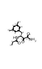 CCC(=O)N[C@@H](Cc1cc(C)cc(C)c1)C(=O)C(N)=O